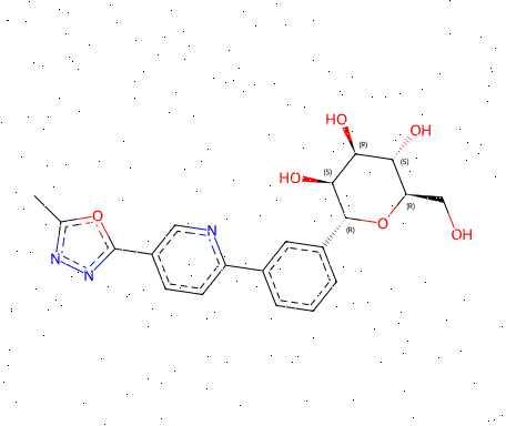 Cc1nnc(-c2ccc(-c3cccc([C@H]4O[C@H](CO)[C@@H](O)[C@H](O)[C@@H]4O)c3)nc2)o1